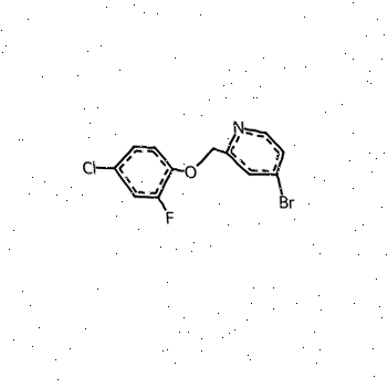 Fc1cc(Cl)ccc1OCc1cc(Br)ccn1